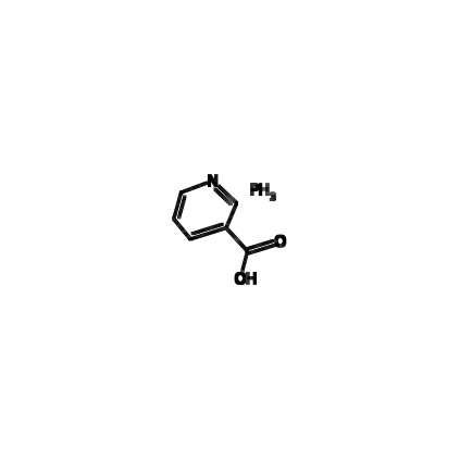 O=C(O)c1cccnc1.P